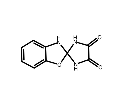 O=C1NC2(NC1=O)Nc1ccccc1O2